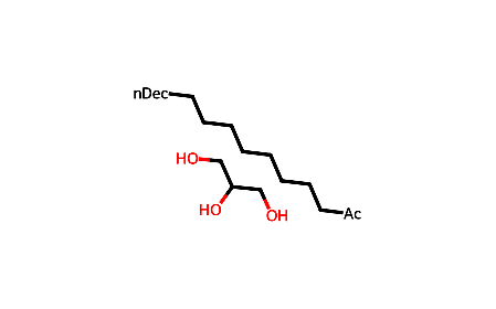 CCCCCCCCCCCCCCCCCCC(C)=O.OCC(O)CO